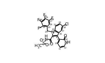 CS(=O)(=O)NC(=O)c1c(-c2ccc[nH]c2=O)c2cc(Cl)ccc2n1Cc1cc(F)c(F)c(F)c1F